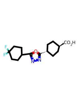 O=C(O)[C@H]1CC[C@H](c2nnc(C3CCC(F)(F)CC3)o2)CC1